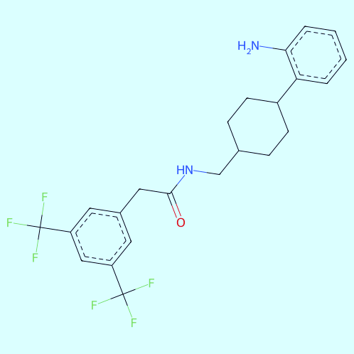 Nc1ccccc1C1CCC(CNC(=O)Cc2cc(C(F)(F)F)cc(C(F)(F)F)c2)CC1